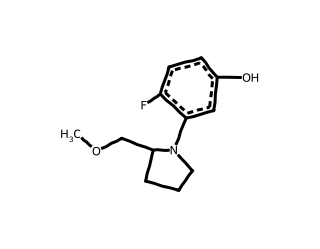 COCC1CCCN1c1cc(O)ccc1F